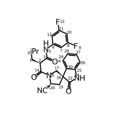 CC(C)C[C@@H](C(=O)Nc1cc(F)cc(F)c1)C(=O)N1C[C@]2(C[C@H]1C#N)C(=O)Nc1ccccc12